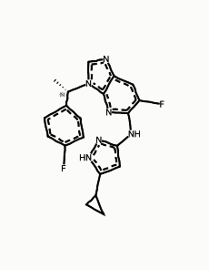 C[C@@H](c1ccc(F)cc1)n1cnc2cc(F)c(Nc3cc(C4CC4)[nH]n3)nc21